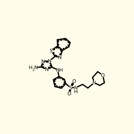 Nc1nc(Nc2cccc(S(=O)(=O)NCCN3CCOCC3)c2)n(-c2nc3ccccc3s2)n1